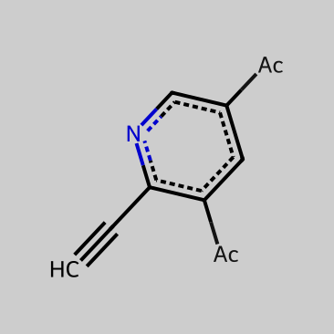 C#Cc1ncc(C(C)=O)cc1C(C)=O